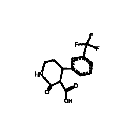 O=C(O)C1C(=O)NCCC1c1cccc(C(F)(F)F)c1